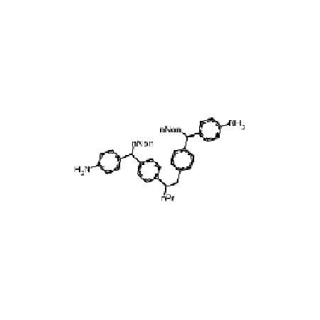 CCCCCCCCCC(c1ccc(N)cc1)c1ccc(CC(CCC)c2ccc(C(CCCCCCCCC)c3ccc(N)cc3)cc2)cc1